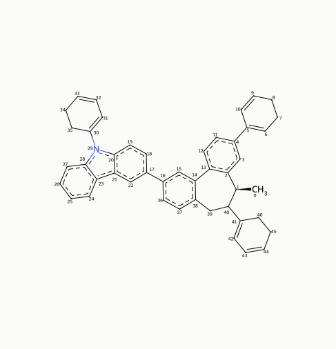 C[C@@H]1c2cc(C3=CCCC=C3)ccc2-c2cc(-c3ccc4c(c3)c3ccccc3n4C3=CC=CCC3)ccc2CC1C1=CC=CCC1